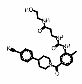 Cc1ccc(C(=O)N2CCC(c3ccc(C#N)cc3)CC2)cc1NC(=O)NCCC(=O)NCCO